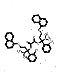 CN(C)C(CCOc1cccc2ccccc12)(OC(=O)C(=O)OC(CCOc1cccc2ccccc12)(c1ccccc1C(F)(F)F)N(C)C)c1ccccc1C(F)(F)F